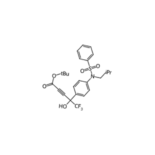 CC(C)CN(c1ccc(C(O)(C#CC(=O)OC(C)(C)C)C(F)(F)F)cc1)S(=O)(=O)c1ccccc1